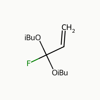 C=CC(F)(OCC(C)C)OCC(C)C